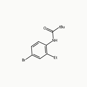 CCc1cc(Br)ccc1NC(=O)C(C)(C)C